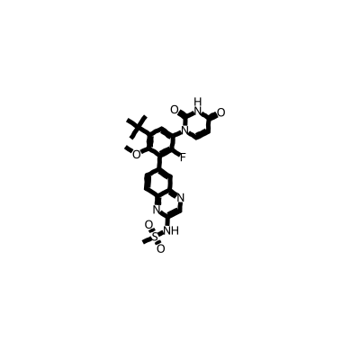 COc1c(C(C)(C)C)cc(-n2ccc(=O)[nH]c2=O)c(F)c1-c1ccc2nc(NS(C)(=O)=O)cnc2c1